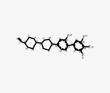 C=CC1CCC(C2CCC(c3ccc(-c4cc(F)c(F)c(F)c4)c(F)c3)CC2)CC1